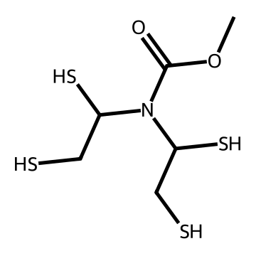 COC(=O)N(C(S)CS)C(S)CS